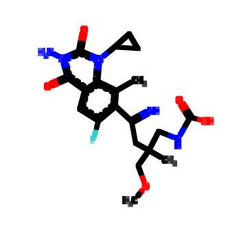 COCC(C)(CNC(=O)O)CC(=N)c1c(F)cc2c(=O)n(N)c(=O)n(C3CC3)c2c1C